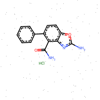 Cl.NC(=O)c1c(-c2ccccc2)ccc2oc(N)nc12